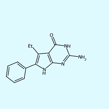 CCc1c(-c2ccccc2)[nH]c2nc(N)[nH]c(=O)c12